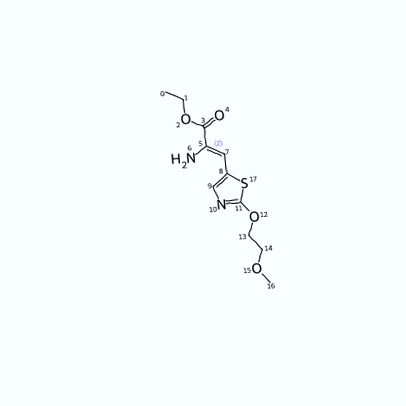 CCOC(=O)/C(N)=C/c1cnc(OCCOC)s1